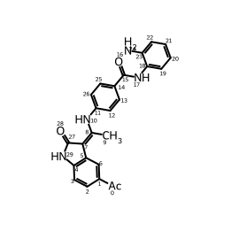 CC(=O)c1ccc2c(c1)/C(=C(\C)Nc1ccc(C(=O)Nc3ccccc3N)cc1)C(=O)N2